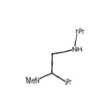 CCCNCC(NC)C(C)C